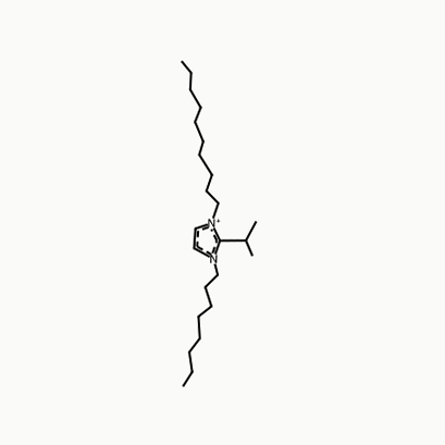 CCCCCCCCCC[n+]1ccn(CCCCCCCC)c1C(C)C